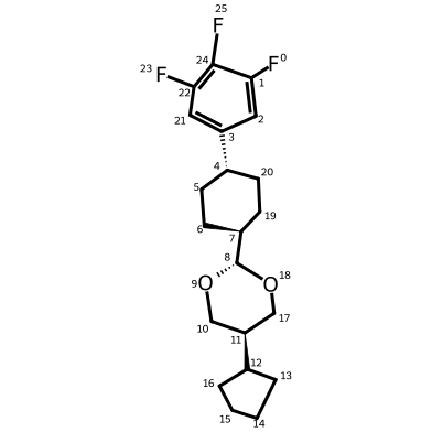 Fc1cc([C@H]2CC[C@H]([C@H]3OC[C@H](C4CCCC4)CO3)CC2)cc(F)c1F